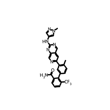 Cc1ccc(-c2c(C(N)=O)cccc2C(F)(F)F)cc1-c1cc2cnc(Nc3cnn(C)c3)nc2cn1